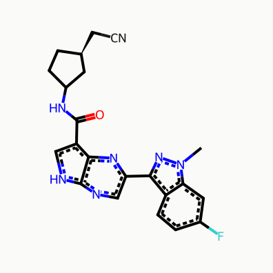 Cn1nc(-c2cnc3[nH]cc(C(=O)NC4CC[C@@H](CC#N)C4)c3n2)c2ccc(F)cc21